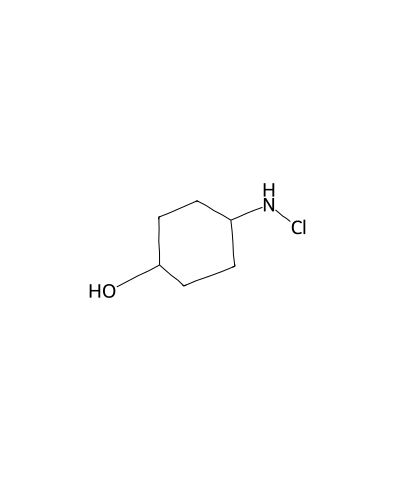 OC1CCC(NCl)CC1